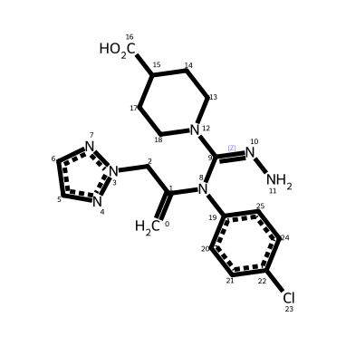 C=C(Cn1nccn1)N(/C(=N\N)N1CCC(C(=O)O)CC1)c1ccc(Cl)cc1